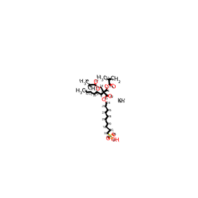 C=C(C)C(=O)OCC(CCCCCC)(COC(=O)C(=C)C)C(=O)OCCCCCCCCCCS(=O)(=O)O.[KH]